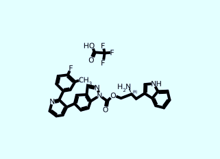 Cc1cc(-c2ncccc2-c2ccc3c(cnn3C(=O)OC[C@H](N)Cc3c[nH]c4ccccc34)c2)ccc1F.O=C(O)C(F)(F)F